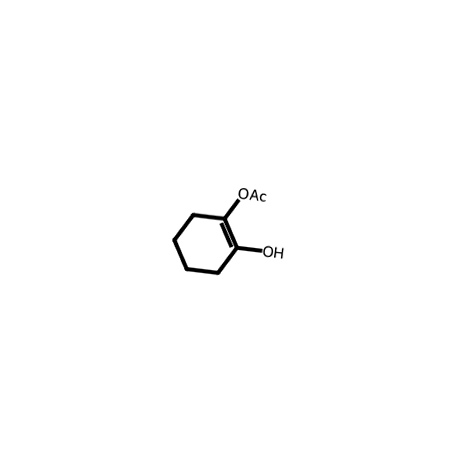 CC(=O)OC1=C(O)CCCC1